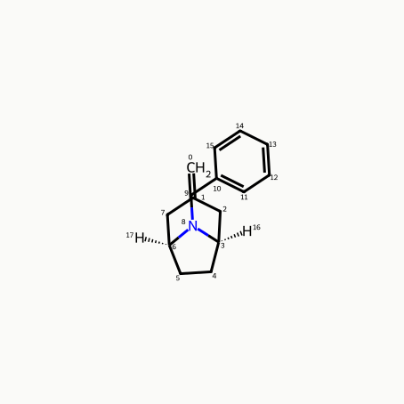 C=C1C[C@H]2CC[C@@H](C1)N2Cc1ccccc1